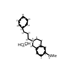 CNc1ccc2c(c1)CCN(CCCc1ccccc1)C2.Cl.Cl